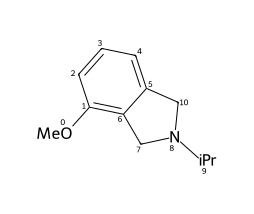 COc1cccc2c1CN(C(C)C)C2